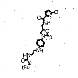 CC(C)(C)OC(=O)NCCNc1ccc(N2CC(CNC(=O)c3ccc(Cl)s3)OC2=O)cc1